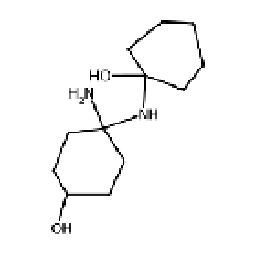 NC1(NC2(O)CCCCC2)CCC(O)CC1